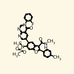 CNC(=O)c1c(-c2ccc(C)cc2)oc2cc(N(C)S(C)(=O)=O)c(-c3cnc4ncn(-c5ccccc5F)c(=O)c4c3)cc12